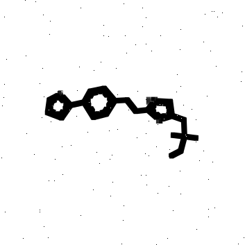 CCC(C)(C)Cc1c[nH]c(CCc2ccc(-c3cccs3)cc2)n1